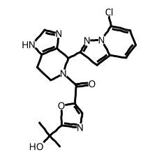 CC(C)(O)c1ncc(C(=O)N2CCc3[nH]cnc3C2c2cc3cccc(Cl)n3n2)o1